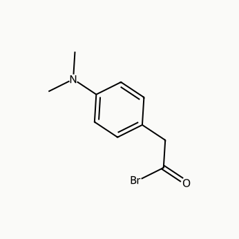 CN(C)c1ccc(CC(=O)Br)cc1